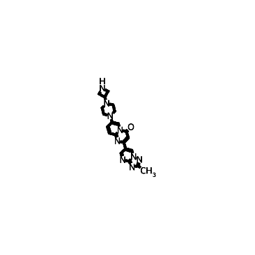 Cc1nc2ncc(-c3cc(=O)n4cc(N5CCN(C6CNC6)CC5)ccc4n3)cn2n1